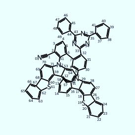 N#Cc1cccc(-c2cc(-n3c4ccccc4c4c5sc6ccccc6c5ccc43)ccc2-c2nc(-c3ccccc3)nc(-c3ccccc3)n2)c1-n1c2ccccc2c2c3sc4ccccc4c3ccc21